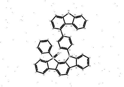 O=P1(c2ccccc2)c2ccccc2-c2ccc3c4ccccc4n(-c4ccc(-c5cccc6sc7ccccc7c56)cc4)c3c21